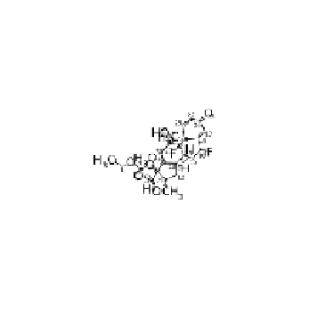 CCOC(=O)O[C@]1(C(=O)S)[C@H](C)C[C@H]2[C@@H]3C[C@H](F)C4=CC(=O)C=C[C@]4(C)[C@@]3(F)[C@@H](O)C[C@@]21C